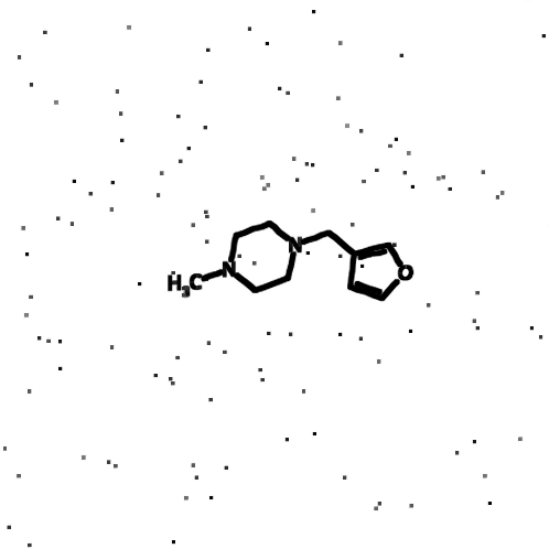 CN1CCN(Cc2[c]occ2)CC1